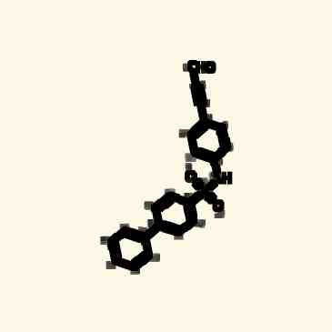 O=CC#Cc1ccc(NS(=O)(=O)c2ccc(-c3ccccc3)cc2)cc1